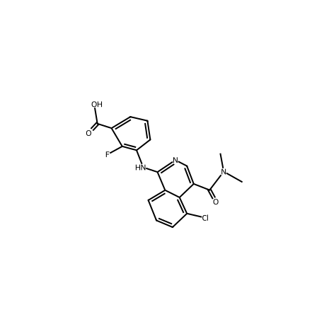 CN(C)C(=O)c1cnc(Nc2cccc(C(=O)O)c2F)c2cccc(Cl)c12